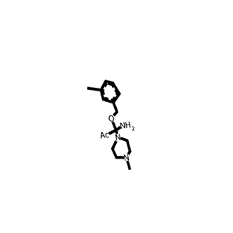 CC(=O)C(N)(OCc1cccc(C)c1)N1CCN(C)CC1